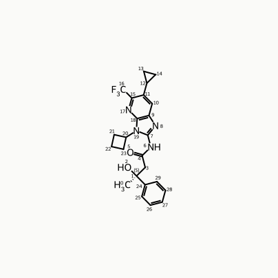 C[C@](O)(CC(=O)Nc1nc2cc(C3CC3)c(C(F)(F)F)nc2n1C1CCC1)c1ccccc1